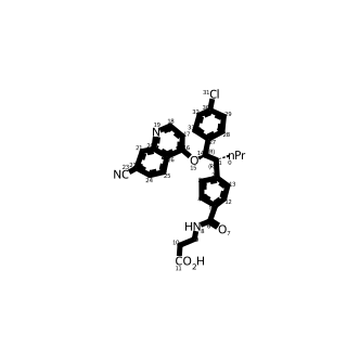 CCC[C@H](c1ccc(C(=O)NCCC(=O)O)cc1)[C@@H](Oc1ccnc2cc(C#N)ccc12)c1ccc(Cl)cc1